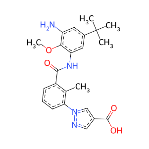 COc1c(N)cc(C(C)(C)C)cc1NC(=O)c1cccc(-n2cc(C(=O)O)cn2)c1C